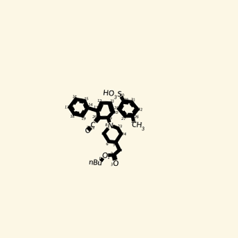 CCCCOC(=O)CC1CCN(C2C=CC=C(c3ccccc3)C2=C=O)CC1.Cc1ccc(S(=O)(=O)O)cc1